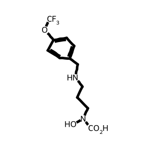 O=C(O)N(O)CCCNCc1ccc(OC(F)(F)F)cc1